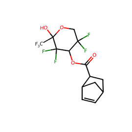 O=C(OC1C(F)(F)COC(O)(C(F)(F)F)C1(F)F)C1CC2C=CC1C2